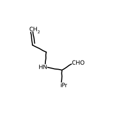 [CH2]C(C)C(C=O)NCC=C